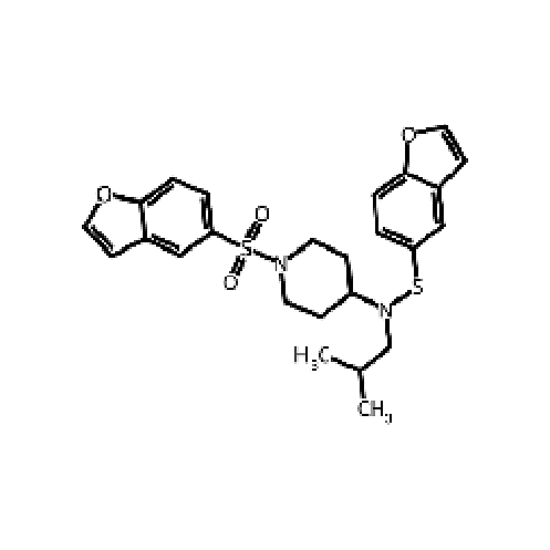 CC(C)CN(Sc1ccc2occc2c1)C1CCN(S(=O)(=O)c2ccc3occc3c2)CC1